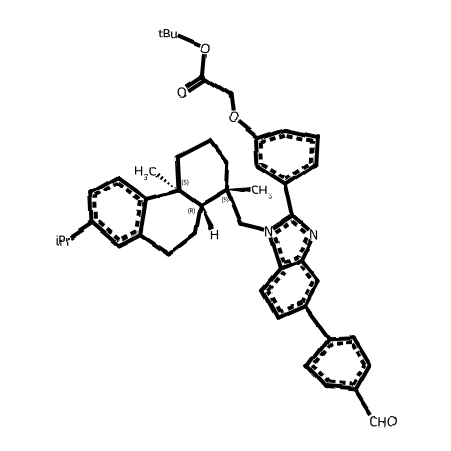 CC(C)c1ccc2c(c1)CC[C@H]1[C@@](C)(Cn3c(-c4cccc(OCC(=O)OC(C)(C)C)c4)nc4cc(-c5ccc(C=O)cc5)ccc43)CCC[C@]21C